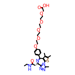 CCNC(=O)C[C@@H]1N=C(c2ccc(OCCOCCOCCOCCOCC(=O)O)cc2)c2c(sc(C)c2C)-n2c(C)nnc21